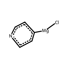 [Cl][Mg][c]1ccncc1